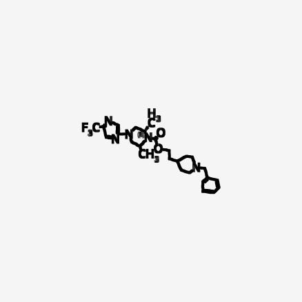 CC1CN(c2cnc(C(F)(F)F)cn2)C[C@@H](C)N1C(=O)OCCC1CCN(Cc2ccccc2)CC1